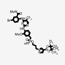 CCCP(=O)(Cc1ccc(Nc2ncc(C(F)(F)F)c(Nc3ccc(Br)cc3C(=O)NC)n2)c(OC)c1)OCCCn1cc(B2OC(C)(C)C(C)(C)O2)cn1